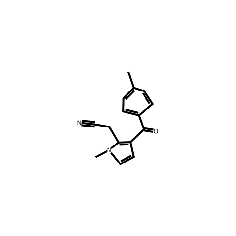 Cc1ccc(C(=O)c2ccn(C)c2CC#N)cc1